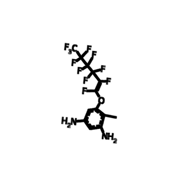 Cc1c(N)cc(N)cc1OC(F)=C(F)C(F)(F)C(F)(F)C(F)(F)C(F)(F)F